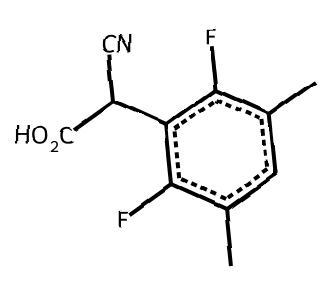 Cc1cc(C)c(F)c(C(C#N)C(=O)O)c1F